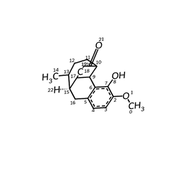 COc1ccc2c(c1O)C1C3CCC(C)[C@H](C2)C1CCC3=O